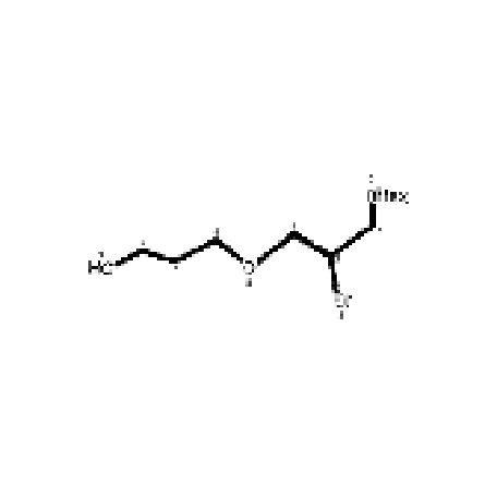 CCCCCCCC(CC)COCCCO